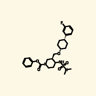 CN(C)S(=O)(=O)NC1CCN(C(=O)Oc2ccccc2)C[C@H]1CO[C@H]1CC[C@@H](c2cccc(F)c2)CC1